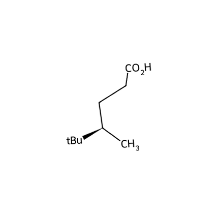 C[C@H](CCC(=O)O)C(C)(C)C